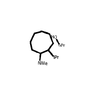 CCCO.CNC1CCCCCCC1C(C)C